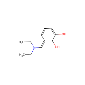 CCN(/C=C1\C=CC=C(O)C1O)CC